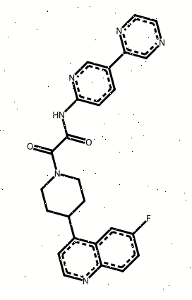 O=C(Nc1ccc(-c2cnccn2)cn1)C(=O)N1CCC(c2ccnc3ccc(F)cc23)CC1